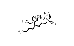 C=C[Si](C)(C)CCCN(CCCC)[Si](CC)(CC)CC